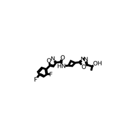 CC(O)c1nnc(C2CC(NC(=O)c3cc(-c4ccc(F)cc4F)on3)C2)o1